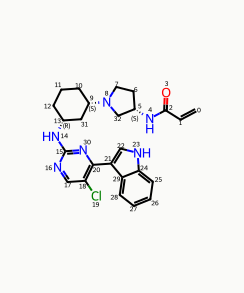 C=CC(=O)N[C@H]1CCN([C@H]2CCC[C@@H](Nc3ncc(Cl)c(-c4c[nH]c5ccccc45)n3)C2)C1